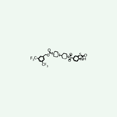 O=C(OCc1cc(C(F)(F)F)cc(C(F)(F)F)c1)N1CCN(C2CCN(S(=O)(=O)c3ccc4[nH]c(=O)sc4c3)CC2)CC1